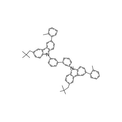 Cc1ccccc1-c1ccc2c(c1)c1cc(CC(C)(C)C)ccc1n2-c1cccc(-c2cccc(-n3c4ccc(CC(C)(C)C)cc4c4cc(-c5ccccc5C)ccc43)c2)c1